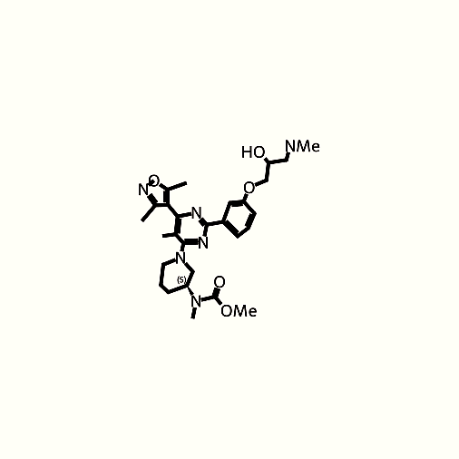 CNCC(O)COc1cccc(-c2nc(-c3c(C)noc3C)c(C)c(N3CCC[C@H](N(C)C(=O)OC)C3)n2)c1